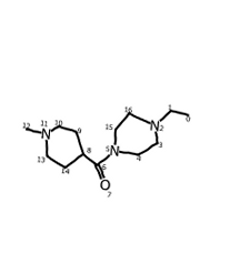 CCN1CCN(C(=O)C2CCN(C)CC2)CC1